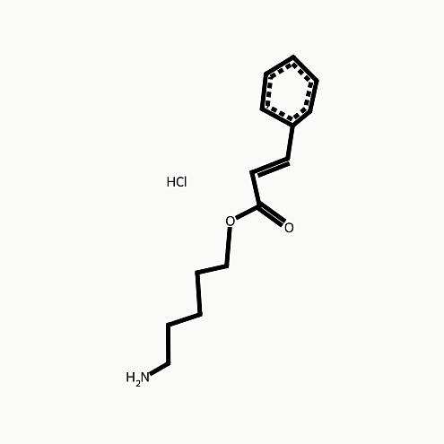 Cl.NCCCCCOC(=O)C=Cc1ccccc1